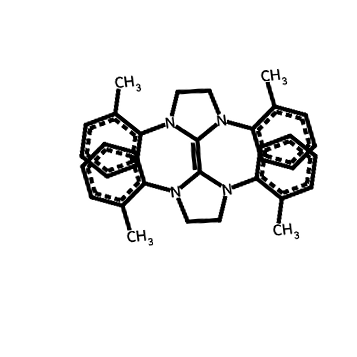 Cc1ccccc1N1CCN(c2ccccc2C)C1=C1N(c2ccccc2C)CCN1c1ccccc1C